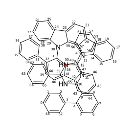 c1ccc(-c2ccccc2C2N=C(n3c4ccccc4c4ccc5c6ccccc6n(-c6c(-c7ccccc7)ccc7c8ccccc8n(-c8ccccc8)c67)c5c43)NC(c3ccccc3)N2)cc1